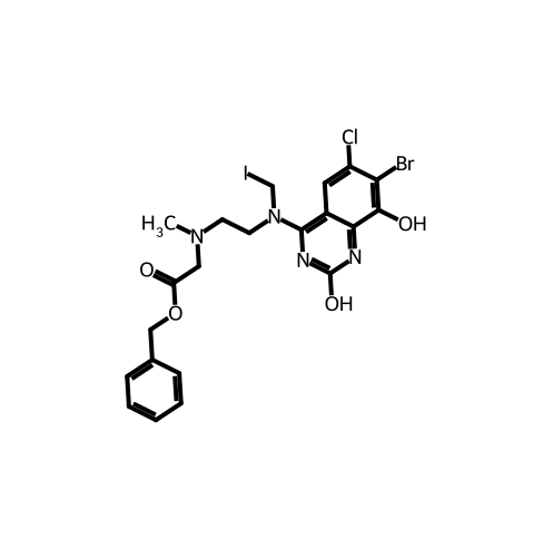 CN(CCN(CI)c1nc(O)nc2c(O)c(Br)c(Cl)cc12)CC(=O)OCc1ccccc1